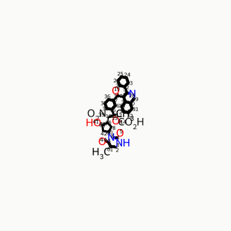 Cc1c[nH]c(=O)n([C@@H]2C[C@H](CC(C)(OC(=O)O)c3cc(C(=O)c4c(-c5ccccc5)ncc5ccccc45)ccc3[N+](=O)[O-])[C@H](O)C2)c1=O